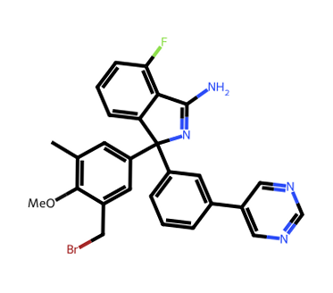 COc1c(C)cc(C2(c3cccc(-c4cncnc4)c3)N=C(N)c3c(F)cccc32)cc1CBr